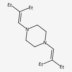 CCC(=CN1CCN(C=C(CC)CC)CC1)CC